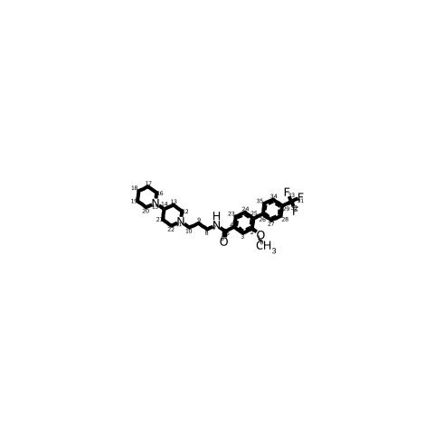 COc1cc(C(=O)NCCCN2CCC(N3CCCCC3)CC2)ccc1-c1ccc(C(F)(F)F)cc1